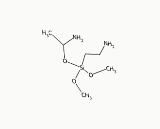 CO[Si](CCN)(OC)OC(C)N